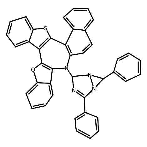 c1ccc(C2=NC(N3c4ccc5ccccc5c4-c4sc5ccccc5c4-c4oc5ccccc5c43)N3C(c4ccccc4)N23)cc1